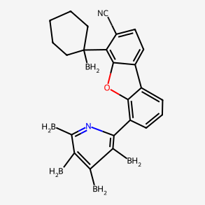 Bc1nc(-c2cccc3c2oc2c(C4(B)CCCCC4)c(C#N)ccc23)c(B)c(B)c1B